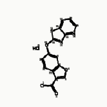 Cl.O=C(Cl)c1coc2cc(Oc3nc4ncccc4s3)ccc12